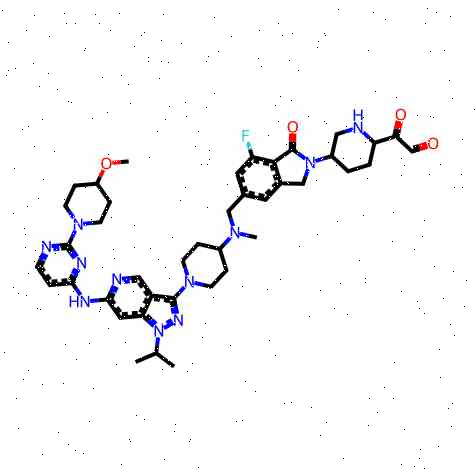 COC1CCN(c2nccc(Nc3cc4c(cn3)c(N3CCC(N(C)Cc5cc(F)c6c(c5)CN(C5CCC(C(=O)C=O)NC5)C6=O)CC3)nn4C(C)C)n2)CC1